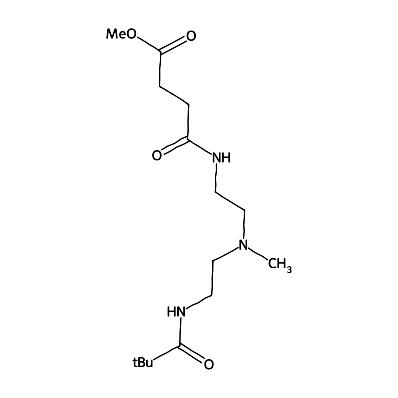 COC(=O)CCC(=O)NCCN(C)CCNC(=O)C(C)(C)C